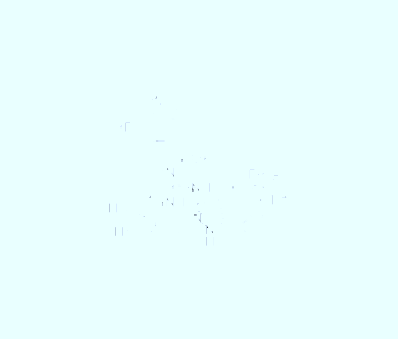 CC(C)(C)CN/C(=N/C(=O)c1ccc(F)c(F)c1)Nc1n[nH]c2ccc(C(F)(F)F)cc12